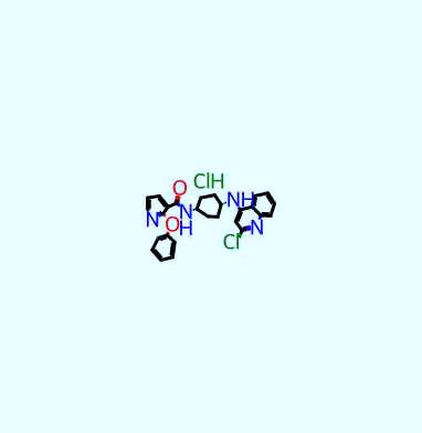 Cl.O=C(N[C@H]1CC[C@@H](Nc2cc(Cl)nc3ccccc23)CC1)c1cccnc1Oc1ccccc1